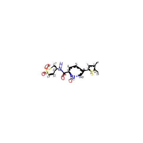 Cc1cc(-c2ccc(C(=O)N[C@@H]3C=CS(=O)(=O)C3)[n+]([O-])c2)sc1C